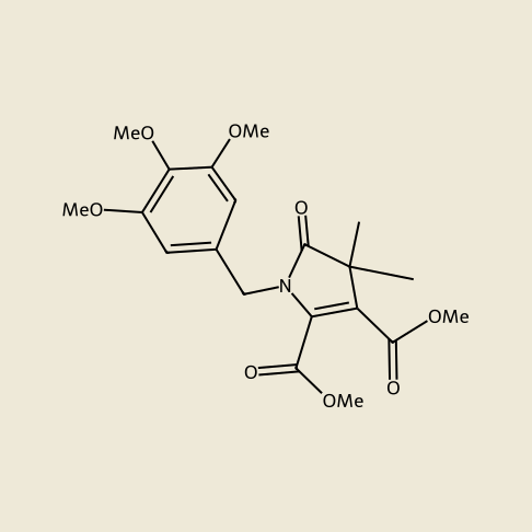 COC(=O)C1=C(C(=O)OC)C(C)(C)C(=O)N1Cc1cc(OC)c(OC)c(OC)c1